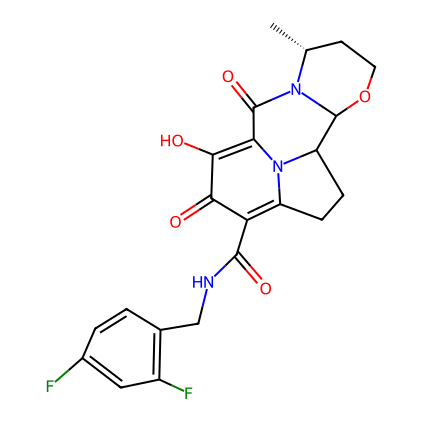 C[C@@H]1CCOC2C3CCc4c(C(=O)NCc5ccc(F)cc5F)c(=O)c(O)c(n43)C(=O)N21